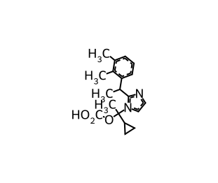 Cc1cccc(C(C)c2nccn2C(C)(OC(=O)O)C2CC2)c1C